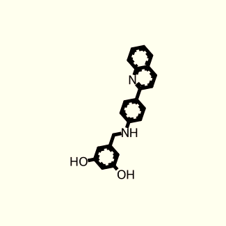 Oc1cc(O)cc(CNc2ccc(-c3ccc4ccccc4n3)cc2)c1